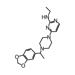 CCNc1nccc(N2CCN(C(C)c3ccc4c(c3)OCO4)CC2)n1